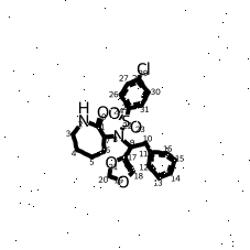 O=C1NCCCCC1N(C(Cc1ccccc1)C1=COCO1)S(=O)(=O)c1ccc(Cl)cc1